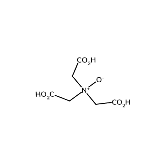 O=C(O)C[N+]([O-])(CC(=O)O)CC(=O)O